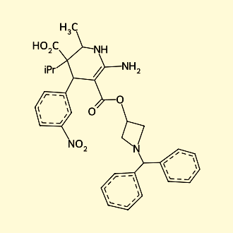 CC(C)C1(C(=O)O)C(C)NC(N)=C(C(=O)OC2CN(C(c3ccccc3)c3ccccc3)C2)C1c1cccc([N+](=O)[O-])c1